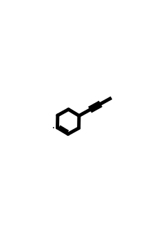 CC#CC1CC=[C]CC1